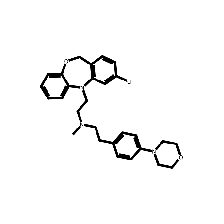 CN(CCc1ccc(N2CCOCC2)cc1)CCN1c2cc(Cl)ccc2COc2ccccc21